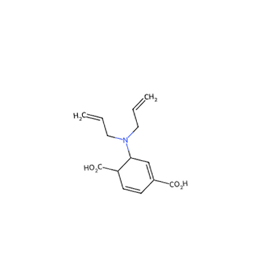 C=CCN(CC=C)C1C=C(C(=O)O)C=CC1C(=O)O